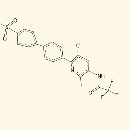 Cc1nc(-c2ccc(-c3ccc(S(C)(=O)=O)cc3)cc2)c(Cl)cc1NC(=O)C(F)(F)F